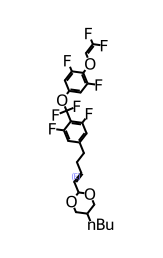 CCCCC1COC(/C=C/CCc2cc(F)c(C(F)(F)Oc3cc(F)c(OC=C(F)F)c(F)c3)c(F)c2)OC1